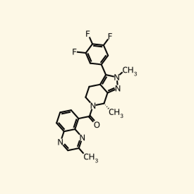 Cc1cnc2cccc(C(=O)N3CCc4c(nn(C)c4-c4cc(F)c(F)c(F)c4)[C@@H]3C)c2n1